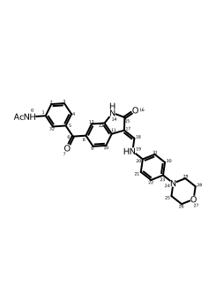 CC(=O)Nc1cccc(C(=O)c2ccc3c(c2)NC(=O)C3=CNc2ccc(N3CCOCC3)cc2)c1